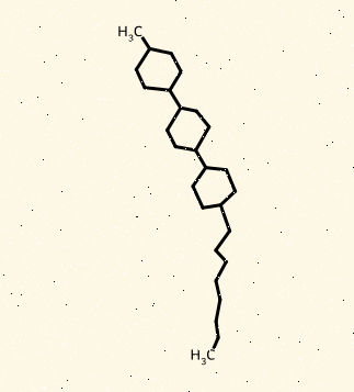 CCCCCCCCC1CCC(C2CCC(C3CCC(C)CC3)CC2)CC1